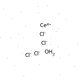 O.[Ce+4].[Cl-].[Cl-].[Cl-].[Cl-]